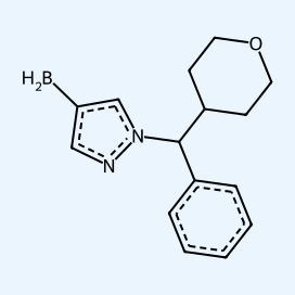 Bc1cnn(C(c2ccccc2)C2CCOCC2)c1